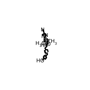 C[C@@H]1CN(c2ncc(C#N)cn2)C[C@H](C)N1C(=O)NCCC1CCN(Cc2ccc(O)cc2)CC1